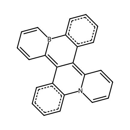 C1=CB2C(=C3C(=C4C=CC=CN4c4ccccc43)c3ccccc32)C=C1